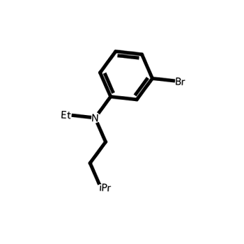 CCN(CCC(C)C)c1cccc(Br)c1